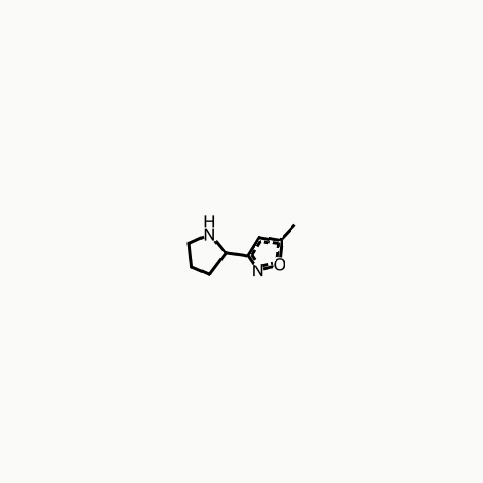 Cc1cc(C2CCCN2)no1